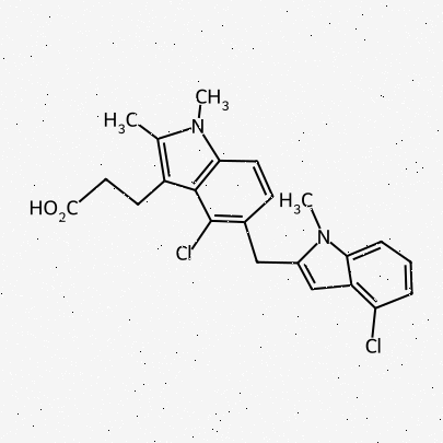 Cc1c(CCC(=O)O)c2c(Cl)c(Cc3cc4c(Cl)cccc4n3C)ccc2n1C